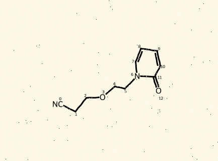 N#CCCOCCn1ccccc1=O